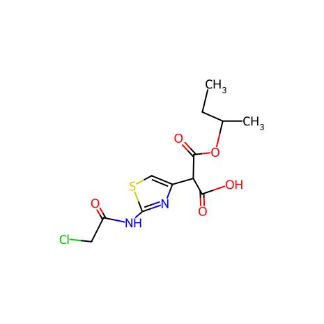 CCC(C)OC(=O)C(C(=O)O)c1csc(NC(=O)CCl)n1